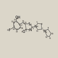 O=C1N=C(N2CC[C@H](N3CCCC3)C2)SC1=Cc1ccc(F)cc1O